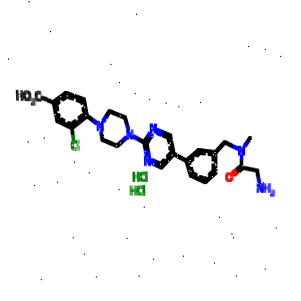 CN(Cc1cccc(-c2cnc(N3CCN(c4ccc(C(=O)O)cc4Cl)CC3)nc2)c1)C(=O)CN.Cl.Cl